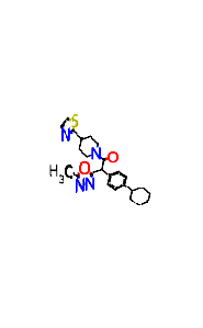 Cc1nnc(C(C(=O)N2CCC(c3nccs3)CC2)c2ccc(C3CCCCC3)cc2)o1